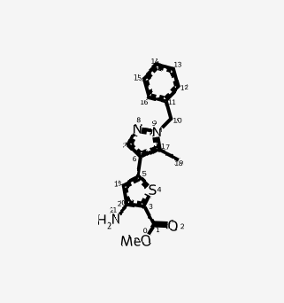 COC(=O)c1sc(-c2cnn(Cc3ccccc3)c2C)cc1N